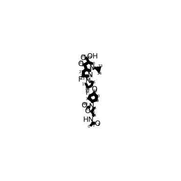 CC(=O)NCC1CN(c2ccc(OC3CCN(c4nc5c(cc4F)c(=O)c(C(=O)O)cn5C4CC4)C3)c(F)c2)C(=O)O1